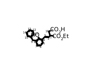 CCOC(=O)C(C=Cc1cccc(Cc2ccccc2)c1O)CC(=O)O